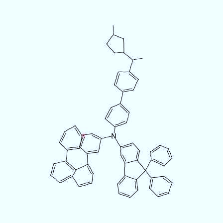 CC1CCC(C(C)c2ccc(-c3ccc(N(c4cccc(-c5cccc6cccc(-c7ccccc7)c56)c4)c4ccc5c(c4)-c4ccccc4C5(c4ccccc4)c4ccccc4)cc3)cc2)C1